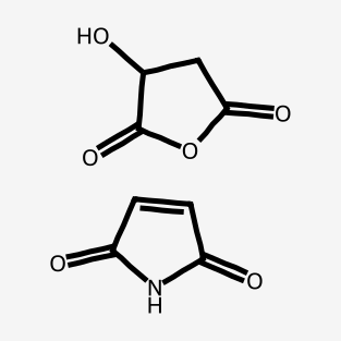 O=C1C=CC(=O)N1.O=C1CC(O)C(=O)O1